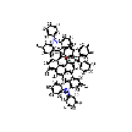 Cc1cc2c3c(c1)N(c1ccccc1)c1ccccc1B3c1cc3c([Si](c4ccccc4)(c4ccccc4)c4ccccc4)cc4c5c(cc6c(C)cc-2c1c6c35)B1c2ccccc2N(c2ccccc2)c2cc(C)cc-4c21